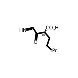 CC(C)CC[C@H](C(=O)O)C(=O)C=N